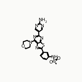 CS(=O)(=O)Nc1cccc(-c2nc3c(N4CCOCC4)nc(-c4cnc(N)nc4)nc3s2)c1